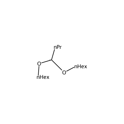 CCCCCCO[C](CCC)OCCCCCC